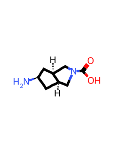 N[C@@H]1C[C@@H]2CN(C(=O)O)C[C@@H]2C1